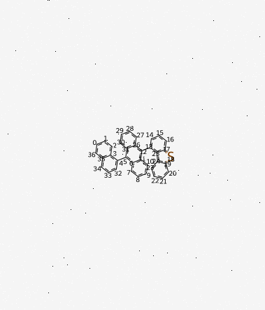 c1ccc2c(-c3c4ccccc4c(-c4cccc5sc6ccccc6c45)c4ccccc34)cccc2c1